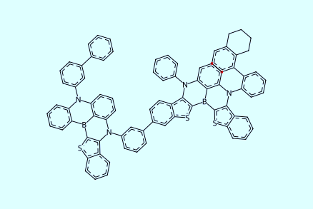 c1ccc(-c2cccc(N3c4ccccc4B4c5sc6ccccc6c5N(c5cccc(-c6ccc7c8c(sc7c6)B6c7sc9ccccc9c7N(c7ccccc7-c7cccc9c7CCCC9)c7cccc(c76)N8c6ccccc6)c5)c5cccc3c54)c2)cc1